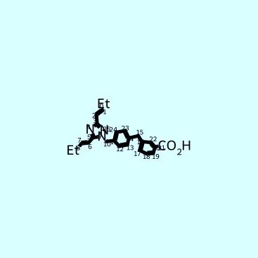 CCC=Cc1nc(C=CCC)n(Cc2ccc(Cc3cccc(C(=O)O)c3)cc2)n1